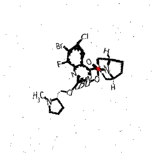 CN1CCC[C@H]1COc1nc(N2C[C@@H]3CC[C@@H](C2)N3C(=O)OC(C)(C)C)c2cc(Cl)c(Br)c(F)c2n1